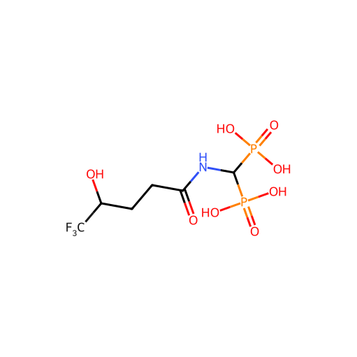 O=C(CCC(O)C(F)(F)F)NC(P(=O)(O)O)P(=O)(O)O